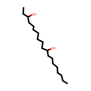 CCCCCCCCC(O)CCCCCCCC(O)CC